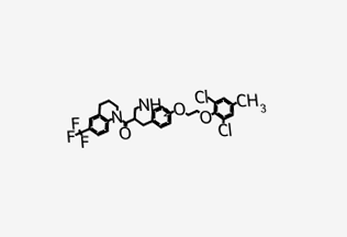 Cc1cc(Cl)c(OCCOc2ccc(CC(CN)C(=O)N3CCCc4cc(C(F)(F)F)ccc43)cc2)c(Cl)c1